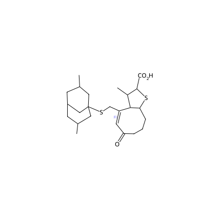 CC1CC2CC(C)CC(SC/C3=C/C(=O)CCCC4SC(C(=O)O)C(C)C34)(C1)C2